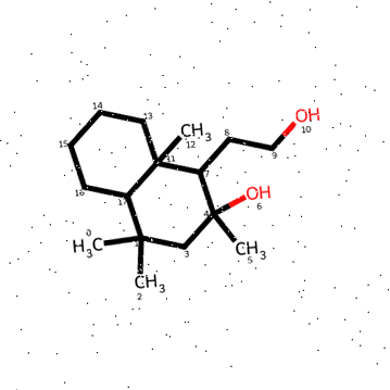 CC1(C)CC(C)(O)C(CCO)C2(C)CCCCC12